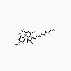 CC(C)(C)c1cc(O)cc(C(C)(C(=O)OCCOCCOCCO)c2cc(O)cc(C(C)(C)C)c2)c1